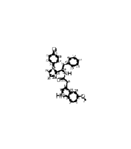 COc1ccc2[nH]cc(CC(=O)NC(Cc3ccccc3)c3nccn3-c3ccc(Cl)cc3)c2c1